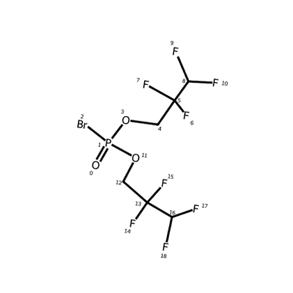 O=P(Br)(OCC(F)(F)C(F)F)OCC(F)(F)C(F)F